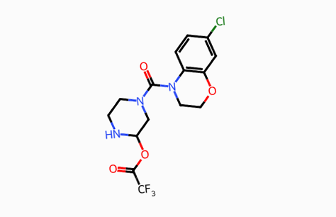 O=C(N1CCNC(OC(=O)C(F)(F)F)C1)N1CCOc2cc(Cl)ccc21